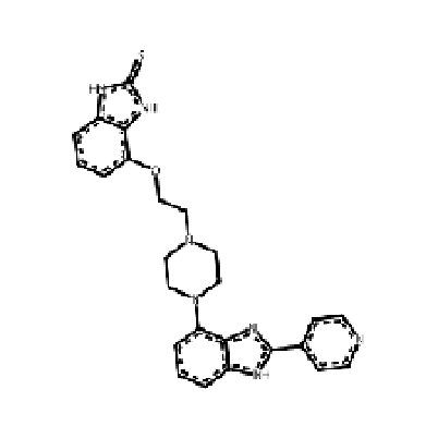 S=c1[nH]c2cccc(OCCN3CCN(c4cccc5[nH]c(-c6ccncc6)nc45)CC3)c2[nH]1